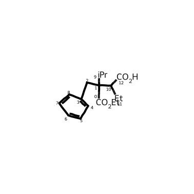 CCOC(=O)C(Cc1ccccc1)(C(C)C)C(CC)C(=O)O